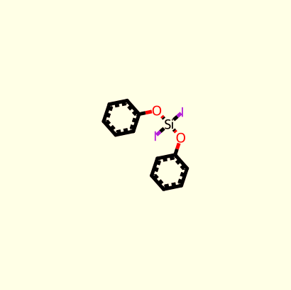 I[Si](I)(Oc1ccccc1)Oc1ccccc1